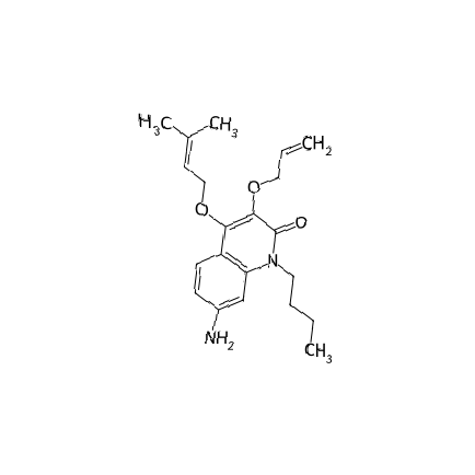 C=CCOc1c(OCC=C(C)C)c2ccc(N)cc2n(CCCC)c1=O